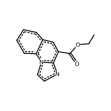 CCOC(=O)c1cc2ccccc2n2ccnc12